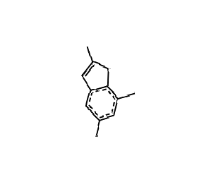 CC1=Cc2cc(C)cc(C)c2[CH]1